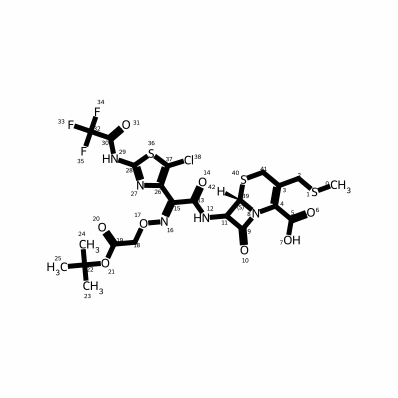 CSCC1=C(C(=O)O)N2C(=O)C(NC(=O)C(=NOCC(=O)OC(C)(C)C)c3nc(NC(=O)C(F)(F)F)sc3Cl)[C@@H]2SC1